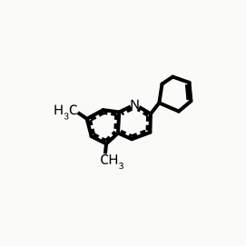 Cc1cc(C)c2ccc(C3CC=CCC3)nc2c1